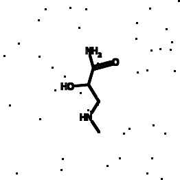 CNCC(O)C(N)=O